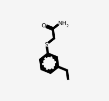 CCc1cccc(SCC(N)=O)c1